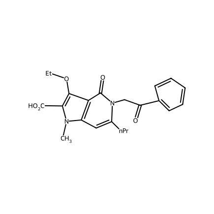 CCCc1cc2c(c(OCC)c(C(=O)O)n2C)c(=O)n1CC(=O)c1ccccc1